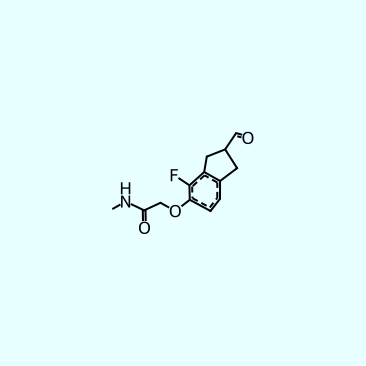 CNC(=O)COc1ccc2c(c1F)CC(C=O)C2